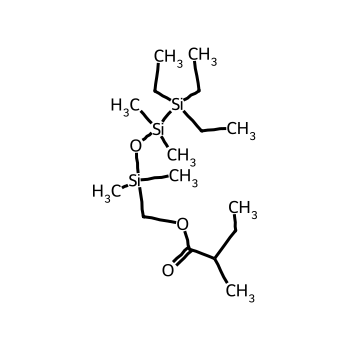 CCC(C)C(=O)OC[Si](C)(C)O[Si](C)(C)[Si](CC)(CC)CC